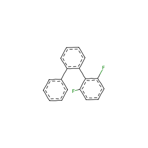 Fc1cccc(F)c1-c1ccccc1-c1ccccc1